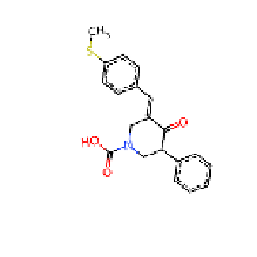 CSc1ccc(/C=C2\CN(C(=O)O)CC(c3ccccc3)C2=O)cc1